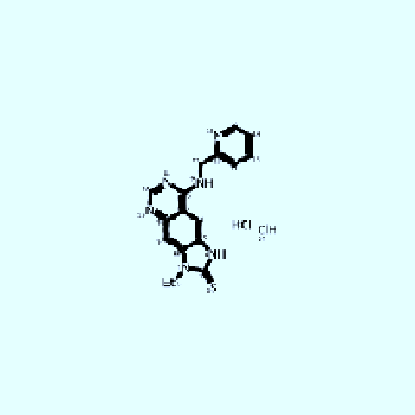 CCn1c(=S)[nH]c2cc3c(NCc4ccccn4)ncnc3cc21.Cl.Cl